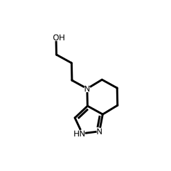 OCCCN1CCCc2n[nH]cc21